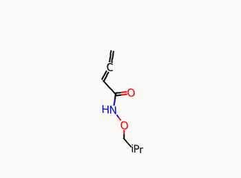 C=C=CC(=O)NOCC(C)C